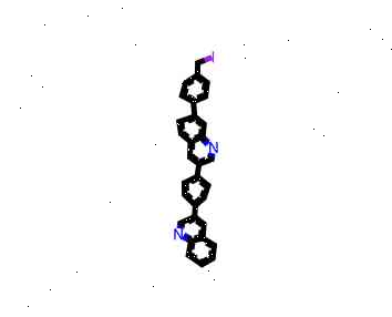 ICc1ccc(-c2ccc3cc(-c4ccc(-c5cnc6ccccc6c5)cc4)cnc3c2)cc1